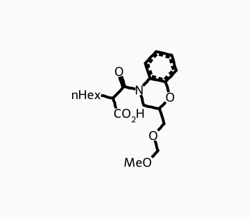 CCCCCCC(C(=O)O)C(=O)N1CC(COCOC)Oc2ccccc21